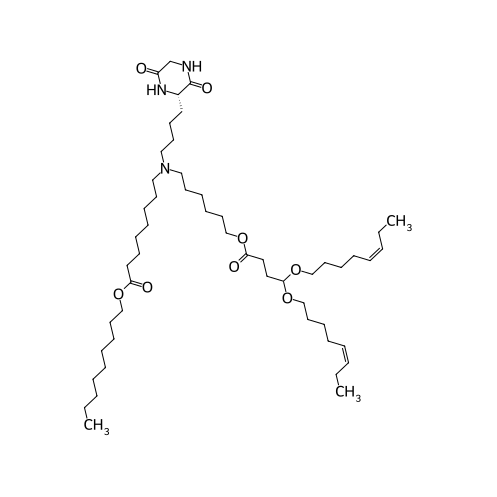 CC/C=C\CCCCOC(CCC(=O)OCCCCCCN(CCCCCCCC(=O)OCCCCCCCCC)CCCC[C@@H]1NC(=O)CNC1=O)OCCCC/C=C\CC